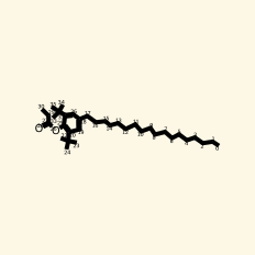 CCCCCCCCCCCCCCCCCCc1cc(C(C)(C)C)c(OC(=O)CC)c(C(C)(C)C)c1